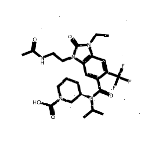 CCn1c(=O)n(CCNC(C)=O)c2cc(C(=O)N(C(C)C)[C@@H]3CCCN(C(=O)O)C3)c(C(F)(F)F)cc21